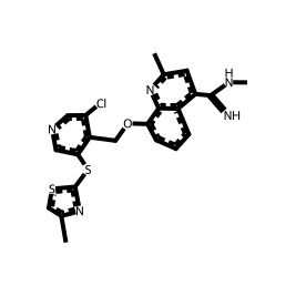 CNC(=N)c1cc(C)nc2c(OCc3c(Cl)cncc3Sc3nc(C)cs3)cccc12